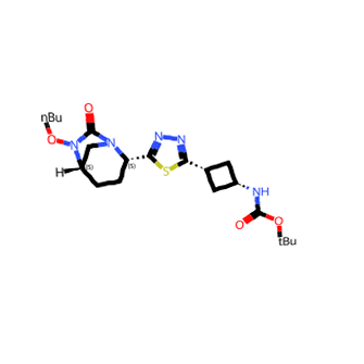 CCCCON1C(=O)N2C[C@@H]1CC[C@H]2c1nnc([C@H]2C[C@@H](NC(=O)OC(C)(C)C)C2)s1